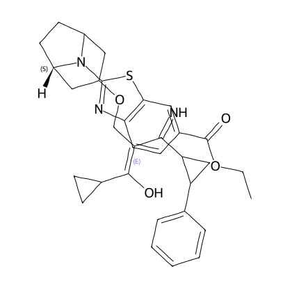 CCOC(=O)c1ccc2nc(N3C4CC[C@H]3CC(OC/C(C(=N)C3CC3c3ccccc3)=C(/O)C3CC3)C4)sc2c1